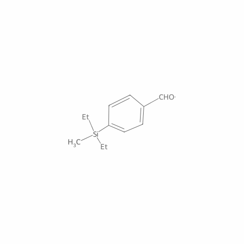 CC[Si](C)(CC)c1ccc([C]=O)cc1